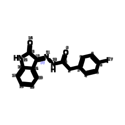 O=C(Cc1ccc(F)cc1)N/N=C1/C(=O)Nc2ccccc21